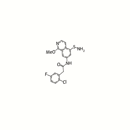 COc1nccc2c(SN)cc(NC(=O)Cc3cc(F)ccc3Cl)cc12